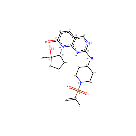 C=C(C)S(=O)(=O)N1CCC(Nc2ncc3ccc(=O)n([C@@H]4CCC[C@@]4(C)O)c3n2)CC1